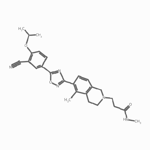 CNC(=O)CCN1CCc2c(ccc(-c3noc(-c4ccc(OC(C)C)c(C#N)c4)n3)c2C)C1